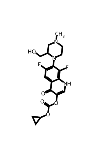 CN1CCN(c2c(F)cc3c(=O)c(OC(=O)OC4CC4)c[nH]c3c2F)C(CO)C1